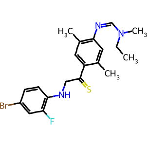 CCN(C)/C=N\c1cc(C)c(C(=S)CNc2ccc(Br)cc2F)cc1C